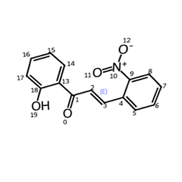 O=C(/C=C/c1ccccc1[N+](=O)[O-])c1ccccc1O